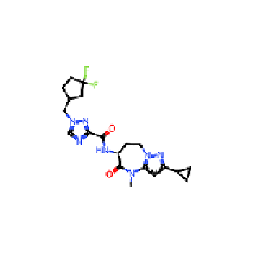 CN1C(=O)[C@@H](NC(=O)c2ncn(CC3CCC(F)(F)C3)n2)CCn2nc(C3CC3)cc21